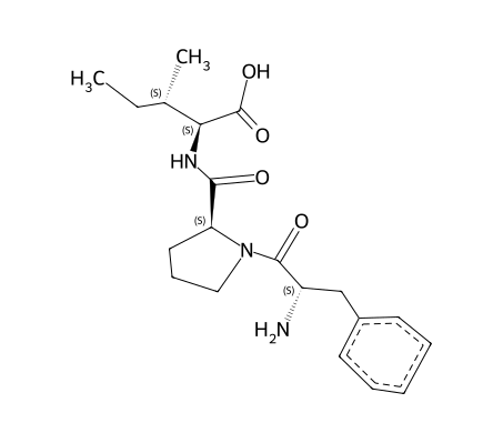 CC[C@H](C)[C@H](NC(=O)[C@@H]1CCCN1C(=O)[C@@H](N)Cc1ccccc1)C(=O)O